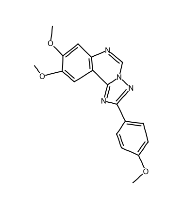 COc1ccc(-c2nc3c4cc(OC)c(OC)cc4ncn3n2)cc1